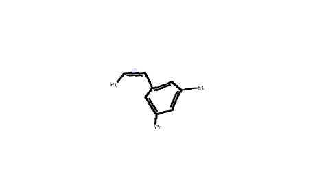 CC/C=C\c1cc(CC)cc(C(C)C)c1